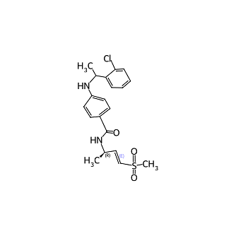 CC(Nc1ccc(C(=O)N[C@H](C)/C=C/S(C)(=O)=O)cc1)c1ccccc1Cl